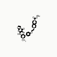 CN1C[C@H](Nc2nc3sccn3c(=O)c2Br)C[C@H](c2ccc(OCCN3CCC4(CC3)CCN(C(=O)OC(C)(C)C)CC4)cc2)C1